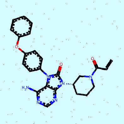 C=CC(=O)N1CCC[C@H](n2c(=O)n(-c3ccc(Oc4ccccc4)cc3)c3c(N)ncnc32)C1